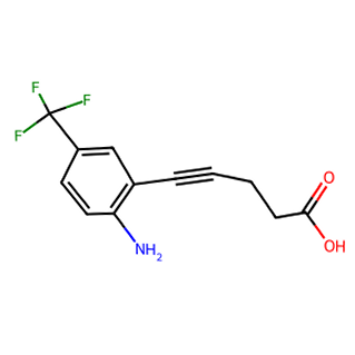 Nc1ccc(C(F)(F)F)cc1C#CCCC(=O)O